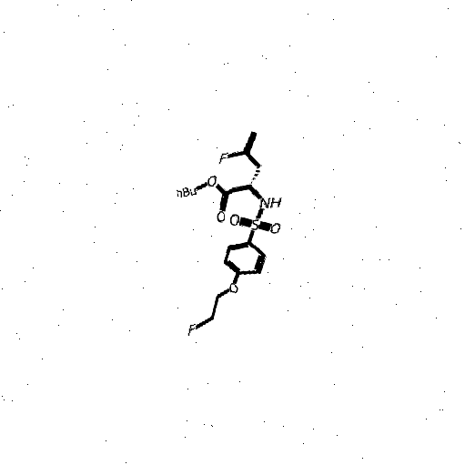 C=C(F)C[C@H](NS(=O)(=O)c1ccc(OCCF)cc1)C(=O)OCCCC